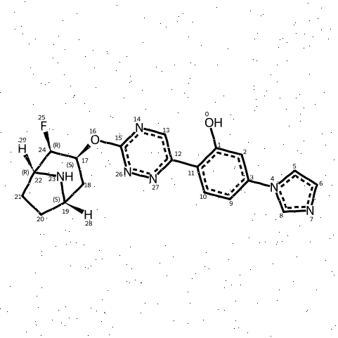 Oc1cc(-n2ccnc2)ccc1-c1cnc(O[C@H]2C[C@@H]3CC[C@@H](N3)[C@H]2F)nn1